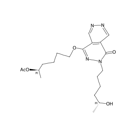 CC(=O)O[C@H](C)CCCCOc1nn(CCCC[C@@H](C)O)c(=O)c2cnncc12